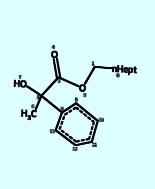 CCCCCCCCOC(=O)C(C)(O)c1ccccc1